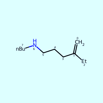 C=C(CC)CCCNCCCC